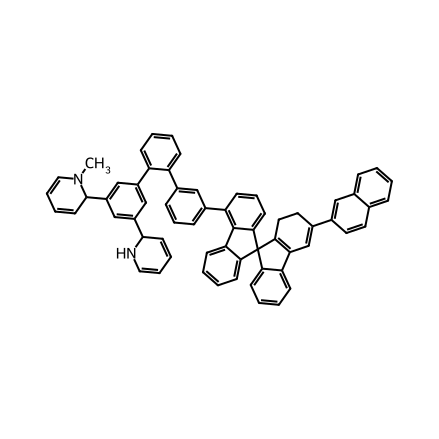 CN1C=CC=CC1c1cc(-c2ccccc2-c2cccc(-c3cccc4c3-c3ccccc3C43C4=C(C=C(c5ccc6ccccc6c5)CC4)c4ccccc43)c2)cc(C2C=CC=CN2)c1